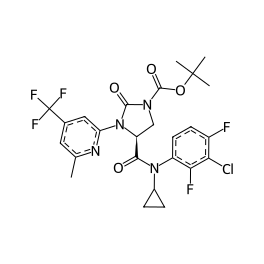 Cc1cc(C(F)(F)F)cc(N2C(=O)N(C(=O)OC(C)(C)C)C[C@H]2C(=O)N(c2ccc(F)c(Cl)c2F)C2CC2)n1